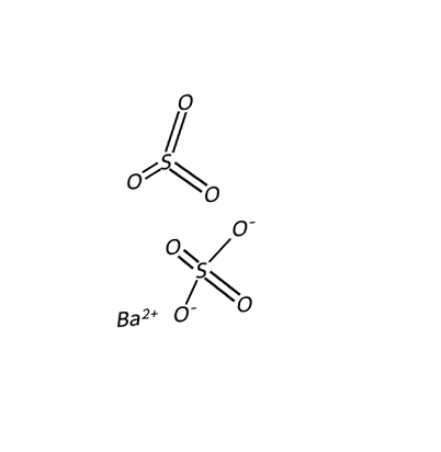 O=S(=O)([O-])[O-].O=S(=O)=O.[Ba+2]